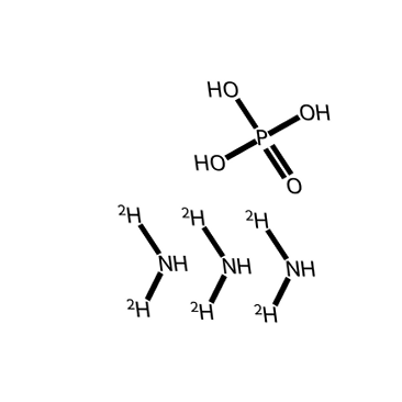 O=P(O)(O)O.[2H]N[2H].[2H]N[2H].[2H]N[2H]